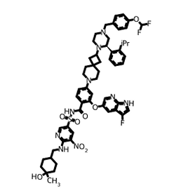 CC(C)c1ccccc1[C@@H]1CN(Cc2ccc(OC(F)F)cc2)CCN1C1CC2(CCN(c3ccc(C(=O)NS(=O)(=O)c4cnc(NCC5CCC(C)(O)CC5)c([N+](=O)[O-])c4)c(Oc4cnc5[nH]cc(F)c5c4)c3)CC2)C1